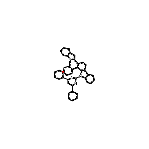 c1ccc(-c2cc(-c3ccccc3)nc(-n3c4ccccc4c4ccc5c(c6ccccc6n6c7ccccc7cc56)c43)n2)cc1